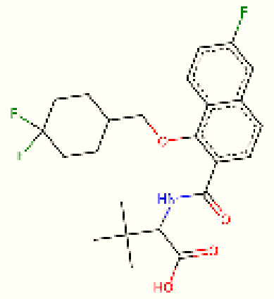 CC(C)(C)[C@H](NC(=O)c1ccc2cc(F)ccc2c1OCC1CCC(F)(F)CC1)C(=O)O